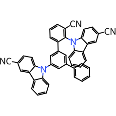 N#Cc1ccc2c(c1)c1ccccc1n2-c1cc(-c2ccccc2)cc(-c2cccc(C#N)c2-n2c3ccccc3c3cc(C#N)ccc32)c1